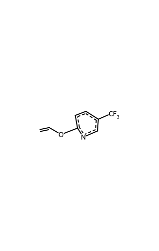 C=COc1ccc(C(F)(F)F)cn1